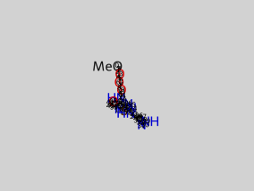 COCCOCCOCCOCCNCc1c2c(nc3sc4c(NCCc5ccc6[nH]cnc6c5)ncnc4c13)CC(C)(C)OC2